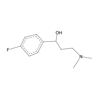 CN(C)CCC(O)c1ccc(F)cc1